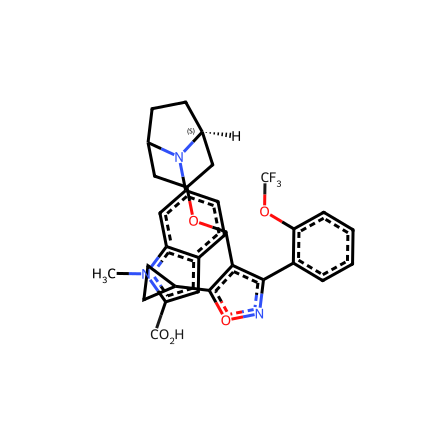 Cn1c(C(=O)O)cc2ccc(N3C4CC[C@H]3CC(OCc3c(-c5ccccc5OC(F)(F)F)noc3C3CC3)C4)cc21